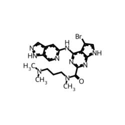 CN(C)CCCN(C)C(=O)c1nc(Nc2cc3cn[nH]c3cn2)c2c(Br)c[nH]c2n1